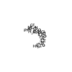 CC(C)n1cc(-c2cnc(C(=O)Nc3ccc(C(=O)N4CCN(C(=O)C5CCNCC5)CC4)c(Cl)c3)n2C)c(C(F)(F)F)n1.Cl